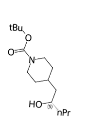 CCC[C@H](O)CC1CCN(C(=O)OC(C)(C)C)CC1